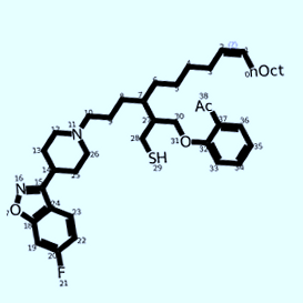 CCCCCCCC/C=C\CCCCC(CCCN1CCC(c2noc3cc(F)ccc23)CC1)C(CS)COc1ccccc1C(C)=O